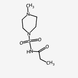 CCC(=O)NS(=O)(=O)N1CCN(C)CC1